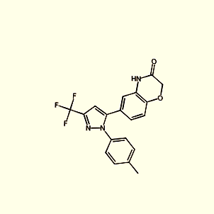 Cc1ccc(-n2nc(C(F)(F)F)cc2-c2ccc3c(c2)NC(=O)CO3)cc1